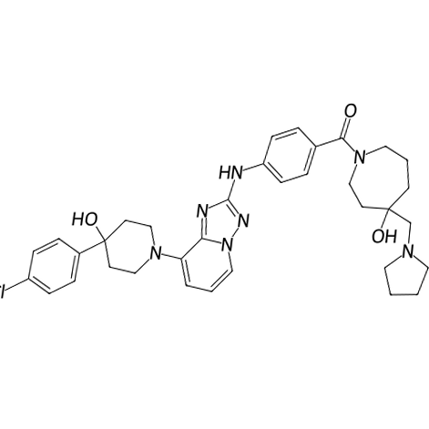 O=C(c1ccc(Nc2nc3c(N4CCC(O)(c5ccc(Cl)cc5)CC4)cccn3n2)cc1)N1CCCC(O)(CN2CCCC2)CC1